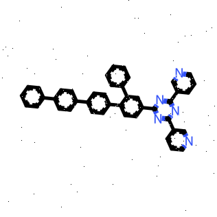 c1ccc(-c2ccc(-c3ccc(-c4ccc(-c5nc(-c6cccnc6)nc(-c6cccnc6)n5)cc4-c4ccccc4)cc3)cc2)cc1